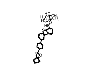 CC(C)(O)C(C)(C)OBc1cccc2c1sc1ccc(-c3ccc(-c4nc5ccccc5o4)cc3)cc12